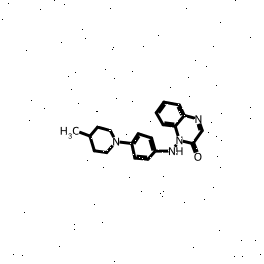 CC1CCN(c2ccc(Nn3c(=O)cnc4ccccc43)cc2)CC1